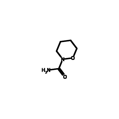 NC(=O)N1CCCCO1